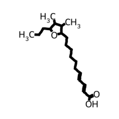 CCCC1OC(CCCCCCC=CC=CC(=O)O)C(C)C1C